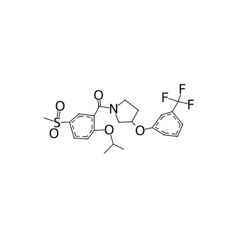 CC(C)Oc1ccc(S(C)(=O)=O)cc1C(=O)N1CCC(Oc2cccc(C(F)(F)F)c2)C1